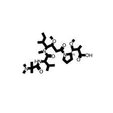 CCC(C)C(C(CC(=O)N1CCC[C@H]1C(OC)C(C)C(=O)O)OC)N(C)C(=O)C(NC(=O)C(C)(C)N(C)C)C(C)C